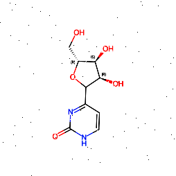 O=c1nc(C2O[C@H](CO)[C@@H](O)[C@H]2O)cc[nH]1